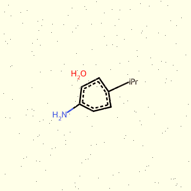 CC(C)c1ccc(N)cc1.O